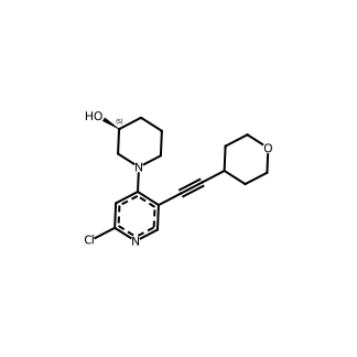 O[C@H]1CCCN(c2cc(Cl)ncc2C#CC2CCOCC2)C1